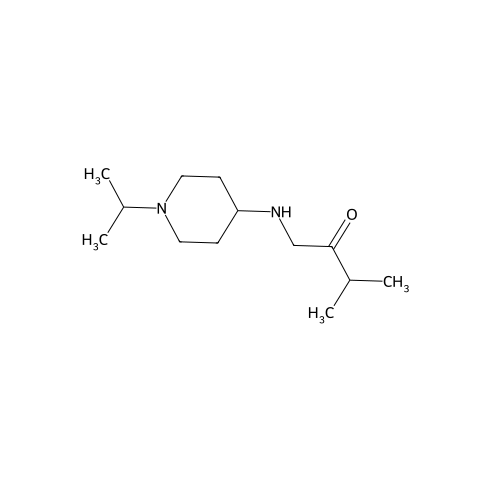 CC(C)C(=O)CNC1CCN(C(C)C)CC1